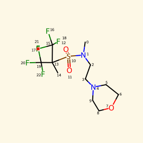 CN(CCN1CCOCC1)S(=O)(=O)C(C)(C(F)(F)F)C(F)(F)F